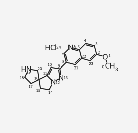 COc1ccc2ncc(-c3cc4n(n3)CCC43CCNC3)cc2c1.Cl